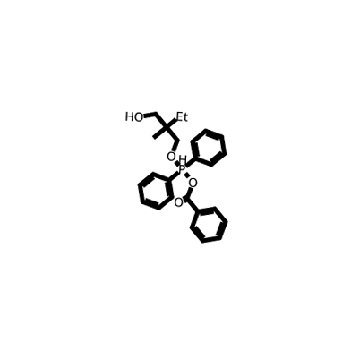 CCC(C)(CO)CO[PH](OC(=O)c1ccccc1)(c1ccccc1)c1ccccc1